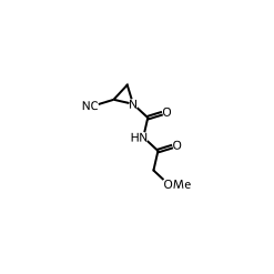 COCC(=O)NC(=O)N1CC1C#N